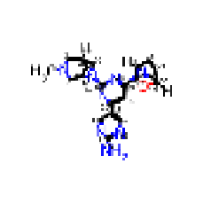 CN1C[C@H]2C[C@@H](C1)N(c1nc(-c3cnc(N)nc3)cc(N3C[C@@H]4CC[C@H]3CO4)n1)C2